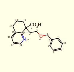 O=C(O)C1(CCOCc2ccccc2)CCCc2cccnc21